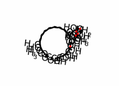 CC1O[C@@H](OC2/C=C/C=C/C=C/C=C/C=C/C=C/C=C/[C@H](C)[C@@H](O)[C@@H](C)[C@H](C)OC(=O)CC(O)CC(O)CC[C@@H](O)C(O)CC(O)C[C@]3(O)C[C@H](O)[C@@H](NC(=O)N4CCOCC4)[C@H](C2)O3)[C@@H](O)[C@@H](N)[C@@H]1O